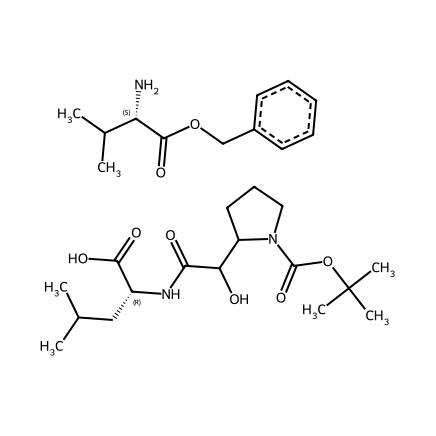 CC(C)C[C@@H](NC(=O)C(O)C1CCCN1C(=O)OC(C)(C)C)C(=O)O.CC(C)[C@H](N)C(=O)OCc1ccccc1